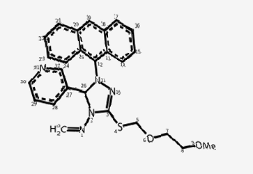 C=NN1C(SCOCCOC)=NN(c2c3ccccc3cc3ccccc23)C1c1cccnc1